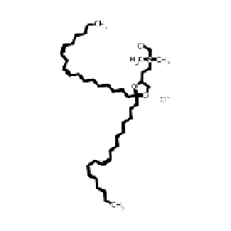 CCCCC/C=C\C/C=C\CCCCCCCCC1(CCCCCCCC/C=C\C/C=C\CCCCC)OCC(CC[N+](C)(C)CCl)O1.[Cl-]